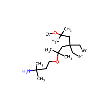 CCOC(C)(C)CC(CC(C)C)(CC(C)C)CC(C)(C)OCCC(C)(C)N